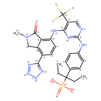 CCC(CC)(c1ccc(Nc2ncc(C(F)(F)F)c(Nc3ccc(-c4nn[nH]n4)c4c3C(=O)N(C)C4)n2)cc1)P(=O)(O)O